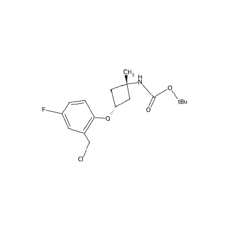 CC(C)(C)OC(=O)N[C@]1(C)C[C@H](Oc2ccc(F)cc2CCl)C1